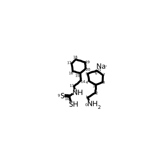 NCCC1CCCCC1.S=C(S)NCCC1CCCCC1.[Na]